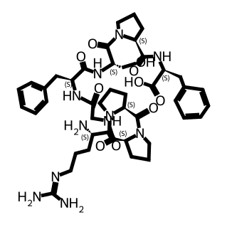 NC(N)=NCCC[C@H](N)C(=O)N1CCC[C@H]1C(=O)N1CCC[C@H]1C(=O)NCC(=O)N[C@@H](Cc1ccccc1)C(=O)N[C@@H](CO)C(=O)N1CCC[C@H]1C(=O)N[C@@H](Cc1ccccc1)C(=O)O